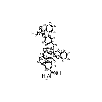 C[N+](Cc1ccccc1)(C(=O)C(Cc1ccccc1)(c1ccccc1)N1Cc2cc(-c3ccccc3S(N)(=O)=O)ccc2C1=O)c1cccc(C(=N)N)c1